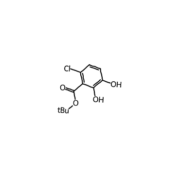 CC(C)(C)OC(=O)c1c(Cl)ccc(O)c1O